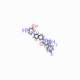 COC1CNCCN(c2ccc3c(c2)CC[C@@H](NC(=O)c2sc4nc(C)cnc4c2N)C3)C1